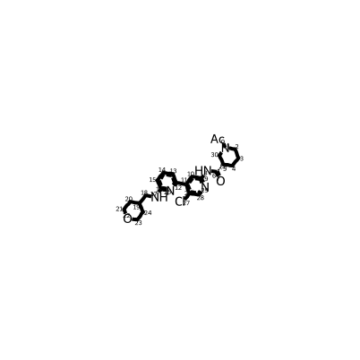 CC(=O)N1CCC[C@H](C(=O)Nc2cc(-c3cccc(NCC4CCOCC4)n3)c(Cl)cn2)C1